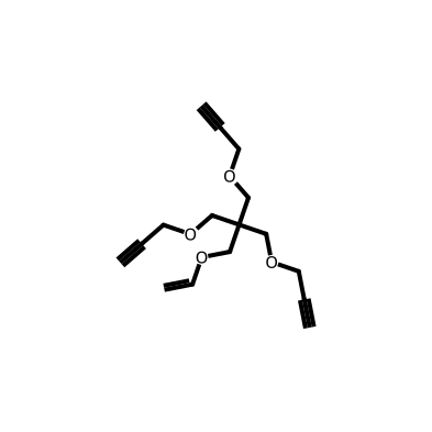 C#CCOCC(COC=C)(COCC#C)COCC#C